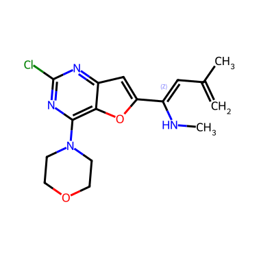 C=C(C)/C=C(\NC)c1cc2nc(Cl)nc(N3CCOCC3)c2o1